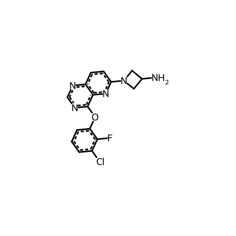 NC1CN(c2ccc3ncnc(Oc4cccc(Cl)c4F)c3n2)C1